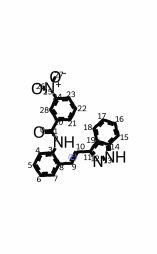 O=C(Nc1ccccc1/C=C/c1n[nH]c2ccccc12)c1cccc([N+](=O)[O-])c1